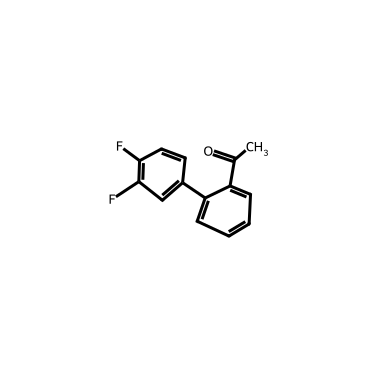 CC(=O)c1ccccc1-c1ccc(F)c(F)c1